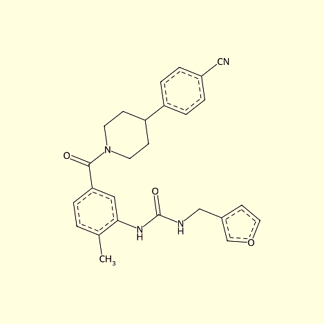 Cc1ccc(C(=O)N2CCC(c3ccc(C#N)cc3)CC2)cc1NC(=O)NCc1ccoc1